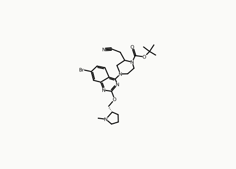 CN1CCC[C@H]1COc1nc(N2CCN(C(=O)OC(C)(C)C)C(CC#N)C2)c2ccc(Br)cc2n1